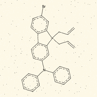 C=CCC1(CC=C)c2cc(Br)ccc2-c2ccc(N(c3ccccc3)c3ccccc3)cc21